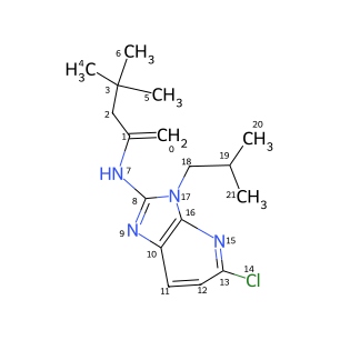 C=C(CC(C)(C)C)Nc1nc2ccc(Cl)nc2n1CC(C)C